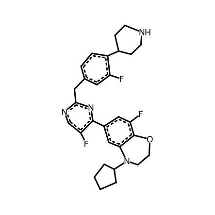 Fc1cc(Cc2ncc(F)c(-c3cc(F)c4c(c3)N(C3CCCC3)CCO4)n2)ccc1C1CCNCC1